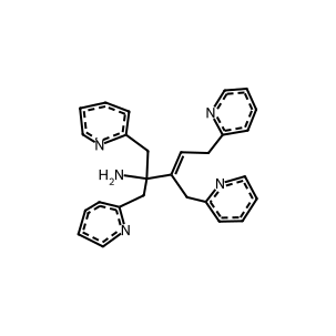 NC(Cc1ccccn1)(Cc1ccccn1)C(=CCc1ccccn1)Cc1ccccn1